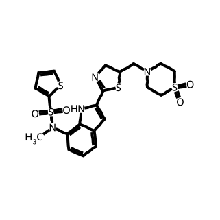 CN(c1cccc2cc(C3=NCC(CN4CCS(=O)(=O)CC4)S3)[nH]c12)S(=O)(=O)c1cccs1